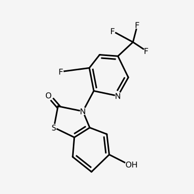 O=c1sc2ccc(O)cc2n1-c1ncc(C(F)(F)F)cc1F